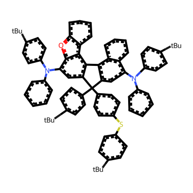 CC(C)(C)c1ccc(Sc2ccc(C3(c4ccc(C(C)(C)C)cc4)c4cc(N(c5ccccc5)c5ccc(C(C)(C)C)cc5)c5ccccc5c4-c4c3cc(N(c3ccccc3)c3ccc(C(C)(C)C)cc3)c3oc5ccccc5c43)cc2)cc1